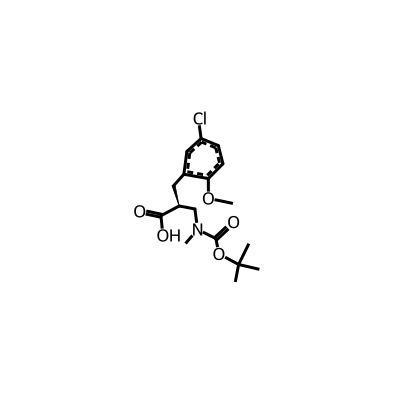 COc1ccc(Cl)cc1C[C@@H](CN(C)C(=O)OC(C)(C)C)C(=O)O